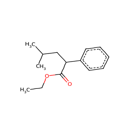 CCOC(=O)C(CC(C)C)c1ccccc1